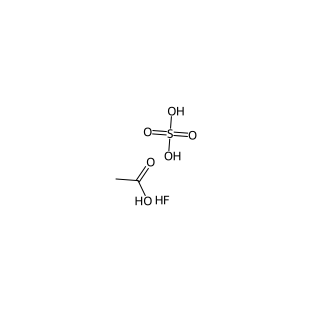 CC(=O)O.F.O=S(=O)(O)O